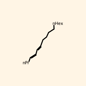 [CH2]CCC=CC=CCCCCCCCCCC